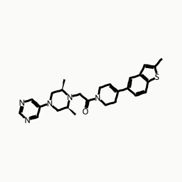 Cc1cc2cc(C3=CCN(C(=O)CN4[C@H](C)CN(c5cncnc5)C[C@@H]4C)CC3)ccc2s1